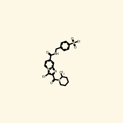 CCc1c(C(=O)N2CCCCC2C(F)(F)F)nc2cc(C(=O)NCc3ccc(S(=O)(=O)CC)cc3)ccn12